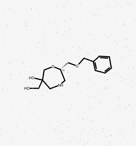 OCC1(O)CNC[C@@H](COCc2ccccc2)OC1